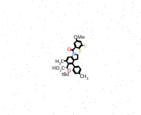 COc1cc(F)c(F)c(C(=O)N2CCc3c2cc(C)c([C@H](OC(C)(C)C)C(=O)O)c3-c2ccc(C)cc2)c1